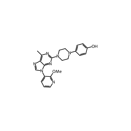 COc1ncccc1-n1cnc2c(C)nc(N3CCN(c4ccc(O)cc4)CC3)nc21